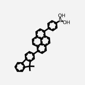 CC1(C)c2ccccc2-c2ccc(-c3ccc4ccc5c(-c6ccc(B(O)O)cc6)ccc6ccc3c4c65)cc21